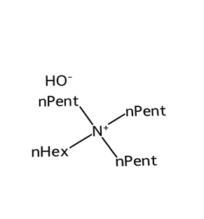 CCCCCC[N+](CCCCC)(CCCCC)CCCCC.[OH-]